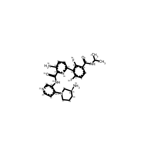 CC(C)NC(=O)c1ccc(F)c(-c2ccc(N)c(C(=O)Nc3cnccc3N3CCC[C@H](N)C3)n2)c1F